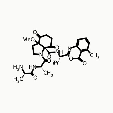 COC12CCN(C(=O)[C@H](C)NC(=O)[C@H](C)N)[C@@]1(C(=O)N[C@H](c1nc3cccc(C)c3c(=O)o1)C(C)C)C(=O)CCC2=O